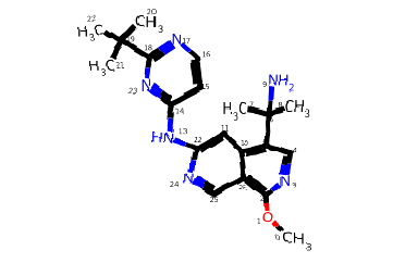 COc1ncc(C(C)(C)N)c2cc(Nc3ccnc(C(C)(C)C)n3)ncc12